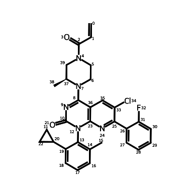 C=CC(=O)N1CCN(c2nc(=O)n(-c3c(C)cccc3C3CC3)c3nc(-c4ccccc4F)c(Cl)cc23)[C@@H](C)C1